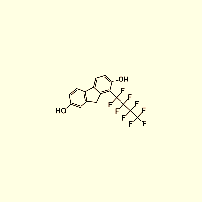 Oc1ccc2c(c1)Cc1c-2ccc(O)c1C(F)(F)C(F)(F)C(F)(F)C(F)(F)F